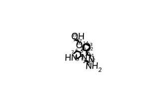 NC1=CN([C@H]2CCCNC2)C(c2cccc(OCCO)c2)C=N1